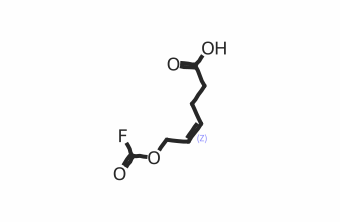 O=C(O)CC/C=C\COC(=O)F